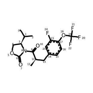 CC(C)[C@@H]1COC(=O)N1C(=O)[C@H](C)Cc1ccc(OC(F)(F)F)c(F)c1